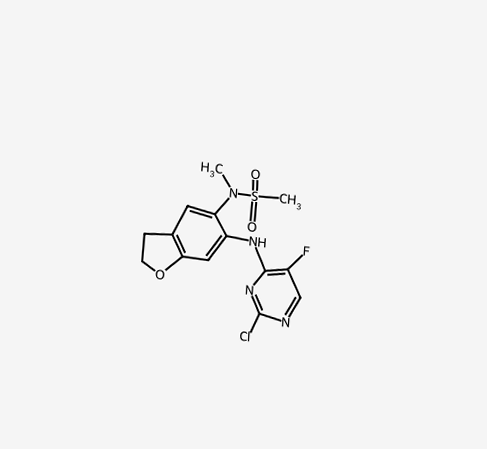 CN(c1cc2c(cc1Nc1nc(Cl)ncc1F)OCC2)S(C)(=O)=O